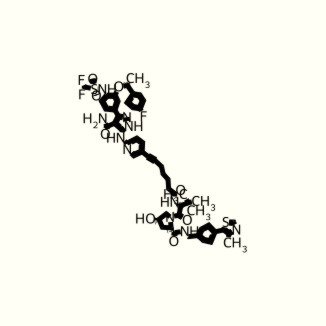 Cc1ncsc1-c1ccc(CNC(=O)[C@@H]2C[C@@H](O)CN2C(=O)[C@@H](NC(=O)CCCCC#Cc2ccc(Nc3[nH]nc(-c4ccc(NS(=O)(=O)C(F)F)c(O[C@@H](C)c5ccc(F)cc5)c4)c3C(N)=O)nc2)C(C)(C)C)cc1